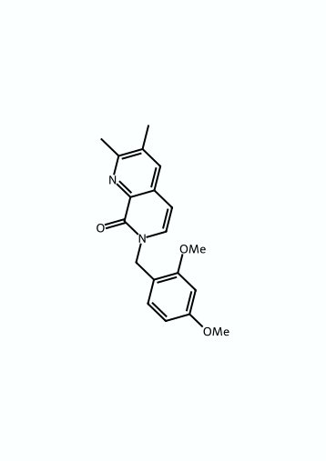 COc1ccc(Cn2ccc3cc(C)c(C)nc3c2=O)c(OC)c1